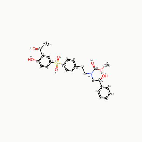 COC(=O)c1cc(S(=O)(=O)c2ccc(CCN(C[C@@H](O)c3ccccc3)C(=O)OC(C)(C)C)cc2)ccc1O